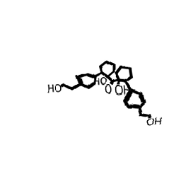 O=C(C1(O)CCCCC1c1ccc(CCO)cc1)C1(O)CCCCC1c1ccc(CCO)cc1